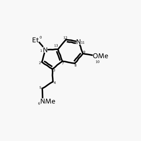 CCn1cc(CCNC)c2cc(OC)ncc21